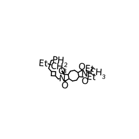 CCC(C)(CP)CC1CC(CN2C(=O)C3CCC4C(=O)N(C(C)(CC)CC)C(=O)C4CCC3C2=O)C1